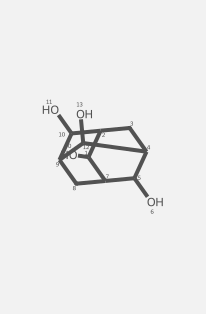 OC1C2CC3C(O)C1CC(C2O)C3O